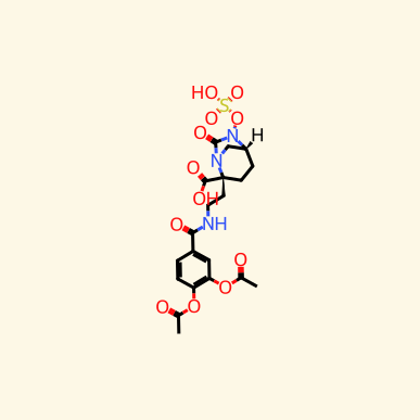 CC(=O)Oc1ccc(C(=O)NCC[C@]2(C(=O)O)CC[C@@H]3CN2C(=O)N3OS(=O)(=O)O)cc1OC(C)=O